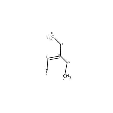 CCC(=CF)CC